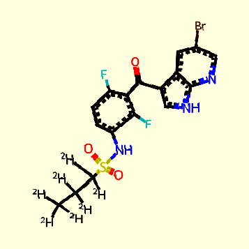 [2H]C([2H])([2H])C([2H])([2H])C([2H])([2H])S(=O)(=O)Nc1ccc(F)c(C(=O)c2c[nH]c3ncc(Br)cc23)c1F